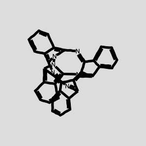 c1ccc2c(c1)-c1nc3c4ccccc4c4nc5c6c(nc7c8ccccc8c(nc-2c16)n7n34)-c1ccccc1-5